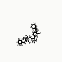 Cc1nc(-c2nnn(C)c2Cc2nc(Cc3ccccc3)no2)ccc1OC1CCCCC1